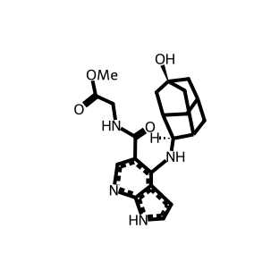 COC(=O)CNC(=O)c1cnc2[nH]ccc2c1N[C@H]1C2CC3CC1C[C@@](O)(C3)C2